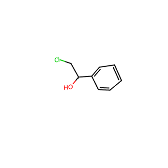 O[C](CCl)c1ccccc1